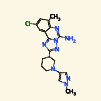 Cc1cc(Cl)cc2c1nc(N)n1nc(C3CCCN(c4cnn(C)c4)C3)nc21